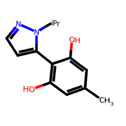 Cc1cc(O)c(-c2ccnn2C(C)C)c(O)c1